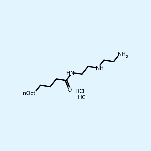 CCCCCCCCCCCC(=O)NCCNCCN.Cl.Cl